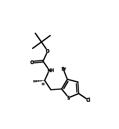 C[C@@H](Cc1sc(Cl)cc1Br)NC(=O)OC(C)(C)C